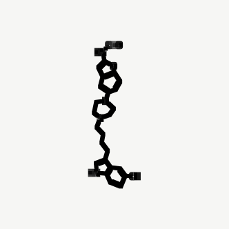 N#Cc1ccc2[nH]cc(CCCCN3CCN(c4ccc5oc(NC=O)cc5c4)CC3)c2c1